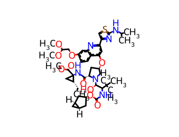 CC[C@@H]1C[C@]1(NC(=O)[C@@H]1C[C@@H](Oc2cc(-c3csc(NC(C)C)n3)nc3cc(OCC(OC)OC)ccc23)CN1[C@H](O)C(NC(=O)O[C@@H]1C[C@@H]2C[C@@H]2C1)C(C)(C)C)C(=O)OC